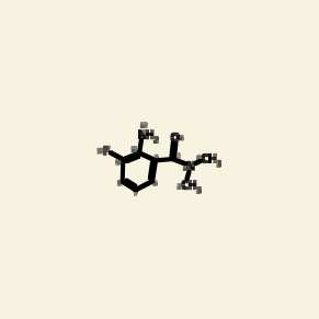 CN(C)C(=O)c1cccc(F)c1N